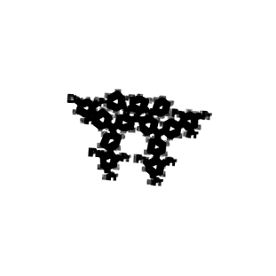 CCc1cc(C(C)C)c(-c2ccc(C(c3ccc(-c4c(C(C)C)cc(C(C)C)cc4C(C)C)cc3)c3ccc4c(c3)N(c3ccccc3)c3cccc5c3B4c3ccc(C(c4ccc(-c6c(C(C)C)cc(C(C)C)cc6C(C)C)cc4)c4ccc(-c6c(C(C)C)cc(C(C)C)cc6C(C)C)cc4)cc3N5c3ccccc3)cc2)c(C(C)C)c1